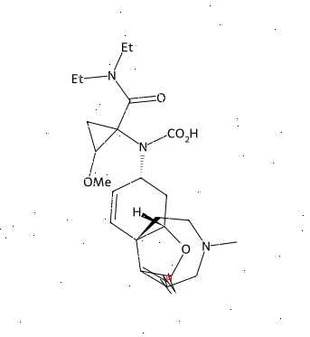 CCN(CC)C(=O)C1(N(C(=O)O)[C@H]2C=C[C@@]34CCN(C)Cc5cccc(c53)O[C@H]4C2)CC1OC